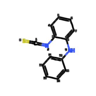 S=C=Nc1ccccc1Nc1ccccc1